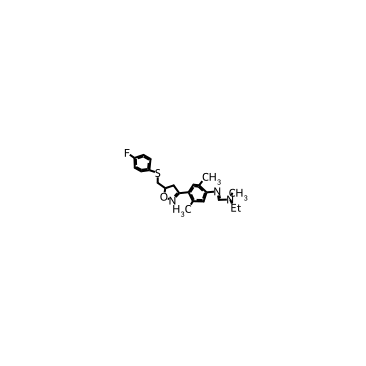 CCN(C)/C=N/c1cc(C)c(C2=NOC(CSc3ccc(F)cc3)C2)cc1C